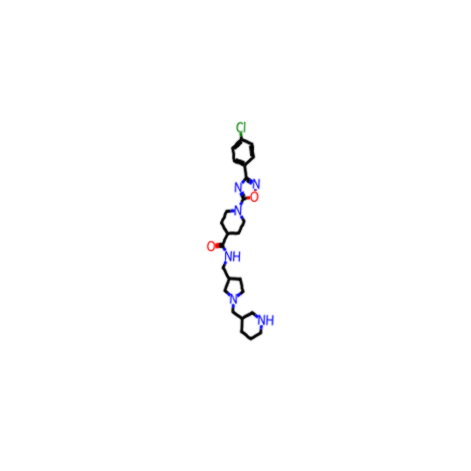 O=C(NCC1CCN(CC2CCCNC2)C1)C1CCN(c2nc(-c3ccc(Cl)cc3)no2)CC1